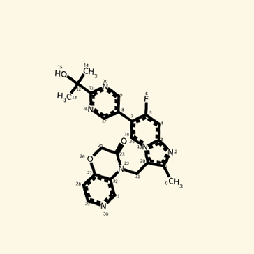 Cc1nc2cc(F)c(-c3cnc(C(C)(C)O)nc3)cn2c1CN1C(=O)COc2ccncc21